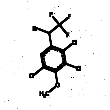 COc1c(Cl)cc(C(Br)C(F)(F)F)c(Cl)c1Cl